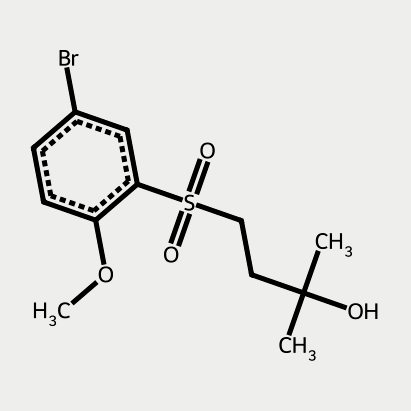 COc1ccc(Br)cc1S(=O)(=O)CCC(C)(C)O